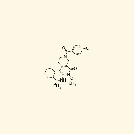 COn1c(N[C@@H](C)C2CCCCC2)nc2c(c1=O)CN(C(=O)c1ccc(Cl)cc1)CC2